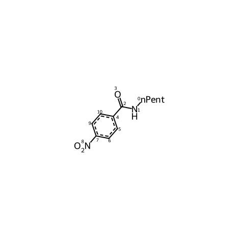 CCCCCNC(=O)c1ccc([N+](=O)[O-])cc1